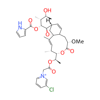 CO[C@H]1CC2C=C[C@@H]3C[C@]2(O[C@H]3[C@H](OC(=O)c2ccc[nH]2)[C@H](C)[C@H](C)O)/C(C)=C/[C@@H](C)[C@@H]([C@@H](C)OC(=O)C[n+]2cccc(Cl)c2)OC1=O